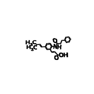 CC(C)/C=C/c1ccc(NC(=O)CCc2ccccc2)c(/C=C/C(=O)O)c1